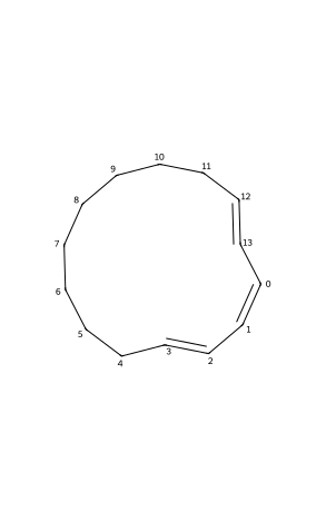 C1=C\C=C\CCCCCCCC/C=C/1